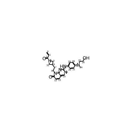 C=CC(=O)N1CC(CCn2c(=O)ccc3cnc(Nc4ccc(N(C)CCO)cc4)nc32)C1